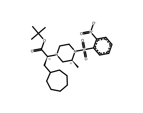 C[C@H]1CN([C@@H](CC2CCCCCC2)C(=O)OC(C)(C)C)CCN1S(=O)(=O)c1ccccc1[N+](=O)[O-]